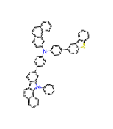 c1ccc(-n2c3cc(-c4ccc(N(c5ccc(-c6ccc7sc8ccccc8c7c6)cc5)c5ccc6ccc7ccccc7c6c5)cc4)ccc3c3ccc4ccccc4c32)cc1